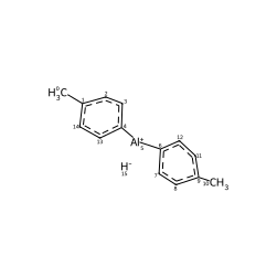 Cc1cc[c]([Al+][c]2ccc(C)cc2)cc1.[H-]